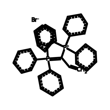 C=CC(=P(c1ccccc1)(c1ccccc1)c1ccccc1)[P+](c1ccccc1)(c1ccccc1)c1ccccc1.[Br-]